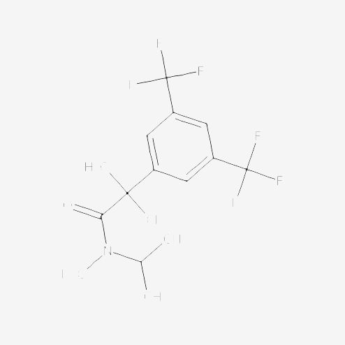 CC(C)N(C)C(=O)C(C)(C)c1cc(C(F)(F)F)cc(C(F)(F)F)c1